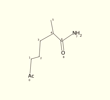 CC(=O)CCCC(C)C(N)=O